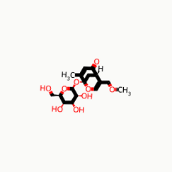 COCC1=CO[C@]2(O[C@@H]3O[C@H](CO)[C@@H](O)[C@H](O)[C@H]3O)C[C@H]1C(=O)C=C2C